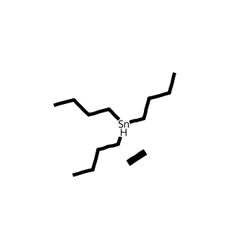 C=C.CCC[CH2][SnH]([CH2]CCC)[CH2]CCC